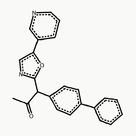 CC(=O)C(c1ccc(-c2ccccc2)cc1)c1ncc(-c2cccnc2)o1